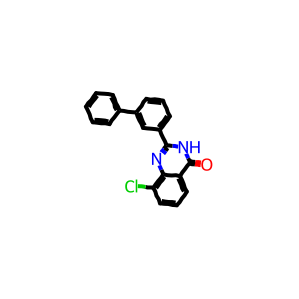 O=c1[nH]c(-c2cccc(-c3ccccc3)c2)nc2c(Cl)cccc12